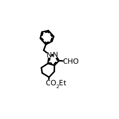 CCOC(=O)C1CCc2c(c(C=O)nn2Cc2ccccc2)C1